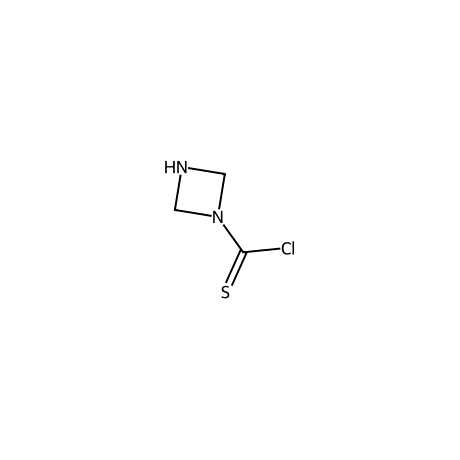 S=C(Cl)N1CNC1